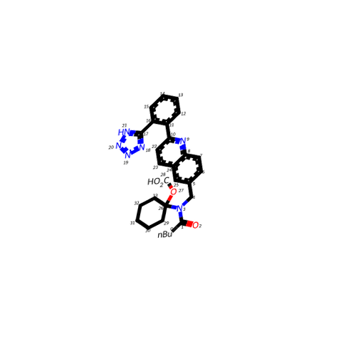 CCCCC(=O)N(Cc1ccc2nc(-c3ccccc3-c3nnn[nH]3)ccc2c1)C1(OC(=O)O)CCCCC1